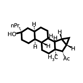 CCC[C@@]1(O)CC[C@H]2[C@H](CC[C@@H]3[C@@H]2CC[C@@]2(C)[C@H]3[C@@H]3C[C@@H]3[C@@H]2C(C)=O)C1